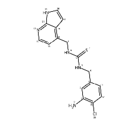 Nc1cc(CNC(=S)NCc2ccnc3[nH]ccc23)ccc1Cl